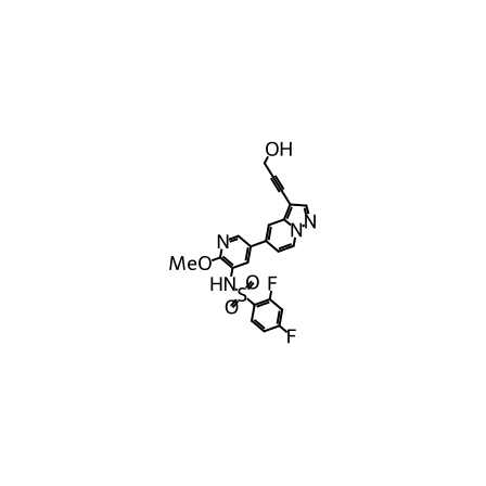 COc1ncc(-c2ccn3ncc(C#CCO)c3c2)cc1NS(=O)(=O)c1ccc(F)cc1F